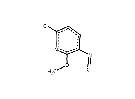 COc1nc(Cl)ccc1N=O